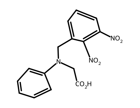 O=C(O)CN(Cc1cccc([N+](=O)[O-])c1[N+](=O)[O-])c1ccccc1